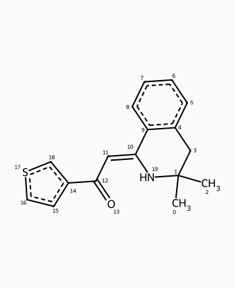 CC1(C)Cc2ccccc2/C(=C/C(=O)c2ccsc2)N1